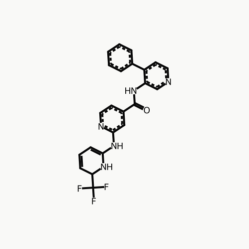 O=C(Nc1cnccc1-c1ccccc1)c1ccnc(NC2=CC=CC(C(F)(F)F)N2)c1